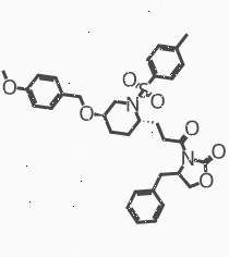 COc1ccc(CO[C@@H]2CC[C@@H](CCC(=O)N3C(=O)OCC3Cc3ccccc3)N(S(=O)(=O)c3ccc(C)cc3)C2)cc1